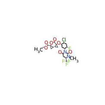 CCOC(=O)C1(OC(=O)C2(Oc3cc(-n4c(=O)cc(C(F)(F)F)n(C)c4=O)c(F)cc3Cl)CC2)CC1